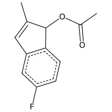 CC(=O)OC1C(C)=Cc2cc(F)ccc21